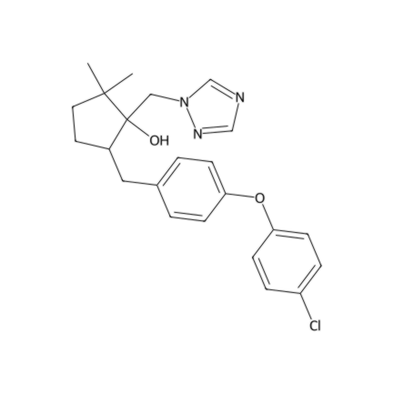 CC1(C)CCC(Cc2ccc(Oc3ccc(Cl)cc3)cc2)C1(O)Cn1cncn1